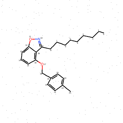 CCCCCC[CH]CCc1noc2cccc(OCc3ccc(C)cc3)c12